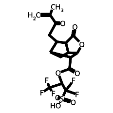 C=C(C)C(=O)CC1C2CC3C(OC(=O)C13)C2C(=O)OC(C(F)(F)F)C(F)(F)S(=O)(=O)O